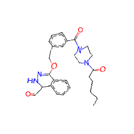 CCCCCC(=O)N1CCN(C(=O)c2cccc(COC3=NNC(C=O)c4ccccc43)c2)CC1